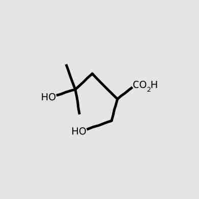 CC(C)(O)CC(CO)C(=O)O